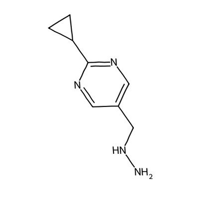 NNCc1cnc(C2CC2)nc1